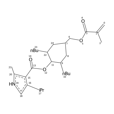 C=C(C)C(=O)OCC1CC(CCCC)C(OC(=O)c2c(C(C)C)c[nH]c2C)C(CCCC)C1